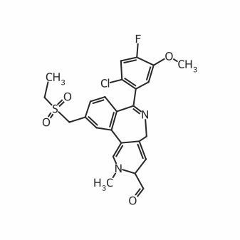 CCS(=O)(=O)Cc1ccc2c(c1)C1=CN(C)C(C=O)C=C1CN=C2c1cc(OC)c(F)cc1Cl